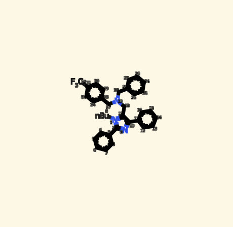 CCCCn1c(-c2ccccc2)nc(-c2ccccc2)c1CN(Cc1ccccc1)Cc1ccc(C(F)(F)F)cc1